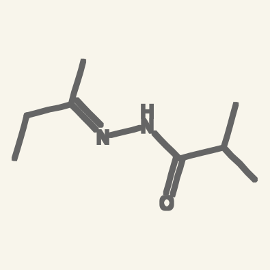 CCC(C)=NNC(=O)C(C)C